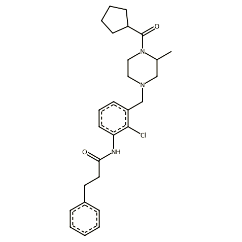 CC1CN(Cc2cccc(NC(=O)CCc3ccccc3)c2Cl)CCN1C(=O)C1CCCC1